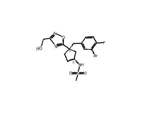 CS(=O)(=O)N[C@H]1CC[C@](Cc2ccc(F)c(Br)c2)(c2nc(CO)no2)C1